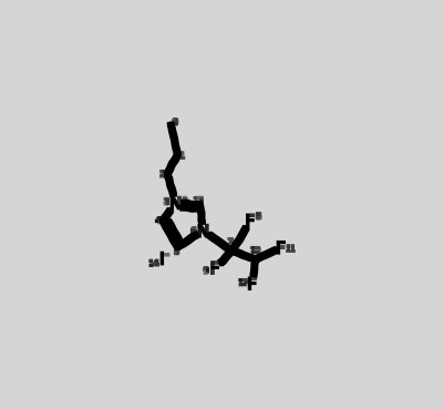 CCC[n+]1ccn(C(F)(F)C(F)F)c1.[I-]